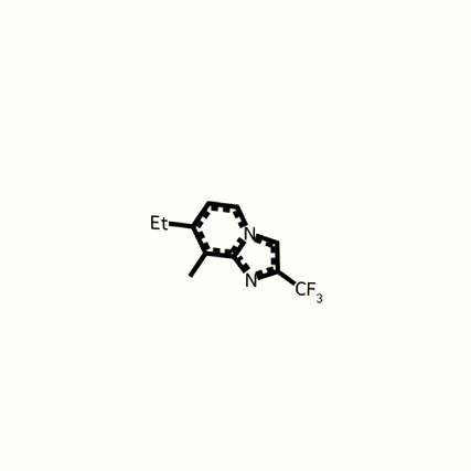 CCc1ccn2cc(C(F)(F)F)nc2c1C